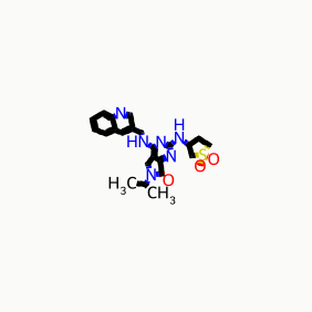 CC(C)N1Cc2c(NCc3cnc4ccccc4c3)nc(NC3CCS(=O)(=O)C3)nc2C1=O